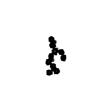 c1ccc(-c2cccc(-c3nc(-c4ccc5c(c4)oc4ccccc45)nc(-c4ccc5c(c4)oc4c(-c6ccc7c8ccccc8n(-c8ccccc8)c7c6)cccc45)n3)c2)cc1